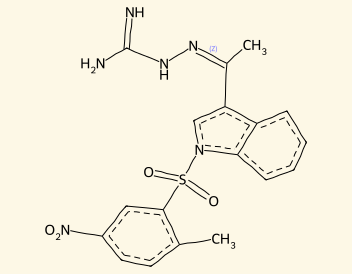 C/C(=N/NC(=N)N)c1cn(S(=O)(=O)c2cc([N+](=O)[O-])ccc2C)c2ccccc12